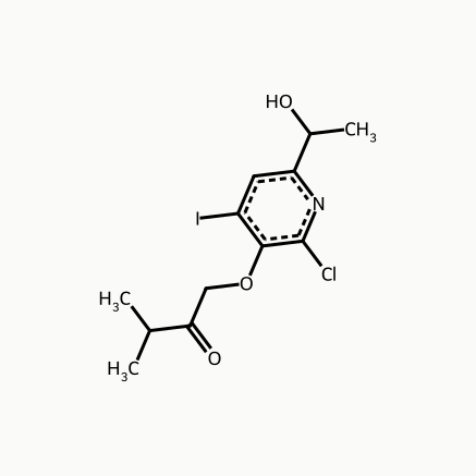 CC(C)C(=O)COc1c(I)cc(C(C)O)nc1Cl